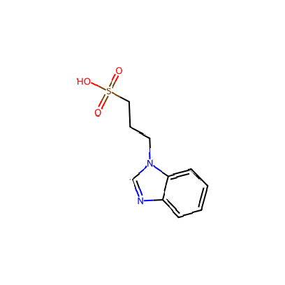 O=S(=O)(O)CCCn1[c]nc2ccccc21